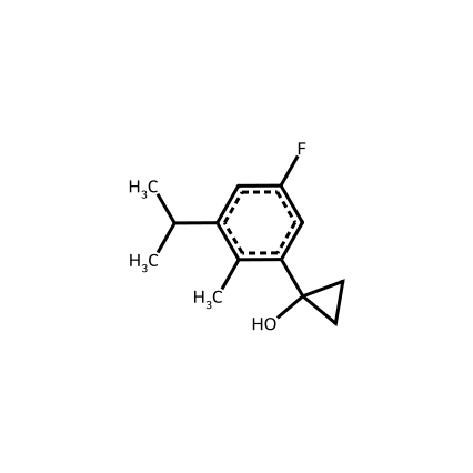 Cc1c(C(C)C)cc(F)cc1C1(O)CC1